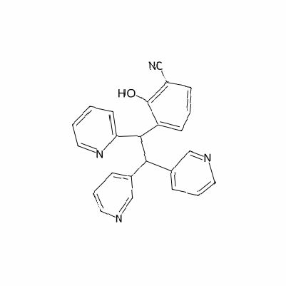 N#Cc1cccc(C(c2ccccn2)C(c2cccnc2)c2cccnc2)c1O